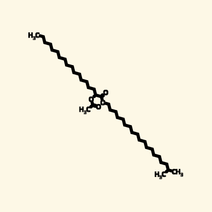 CCCCCCCCCCCCCCCCC(OC(C)=O)C(=O)OCCCCCCCCCCCCCCCCCC(C)C